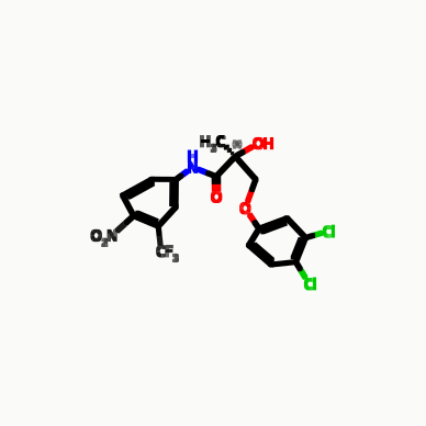 C[C@](O)(COc1ccc(Cl)c(Cl)c1)C(=O)Nc1ccc([N+](=O)[O-])c(C(F)(F)F)c1